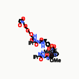 CC[C@H](C)[C@@H]([C@@H](CC(=O)N1CCC[C@H]1[C@H](OC)[C@@H](C)C(=O)NS(=O)(=O)c1ccc(C2(NC(=O)CNC(=O)C(NC(=O)CCOCCOCCOCCN3C(=O)C=CC3=O)C(C)C)CC2)cc1)OC)N(C)C(=O)CNC(=O)C(C(C)C)N(C)C